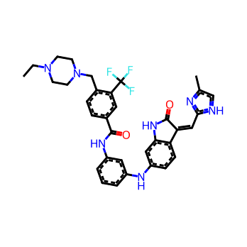 CCN1CCN(Cc2ccc(C(=O)Nc3cccc(Nc4ccc5c(c4)NC(=O)C5=Cc4nc(C)c[nH]4)c3)cc2C(F)(F)F)CC1